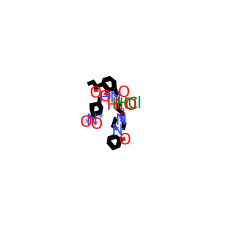 CCC(=O)c1cccc(C(=O)NCCCN2CCN(c3ccccc3OC)CC2)c1OCc1ccc([N+](=O)[O-])cc1.Cl.Cl.O